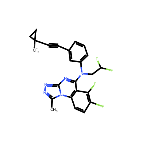 Cc1nnc2nc(N(CC(F)F)c3cccc(C#CC4(C(F)(F)F)CC4)c3)c3c(F)c(F)ccc3n12